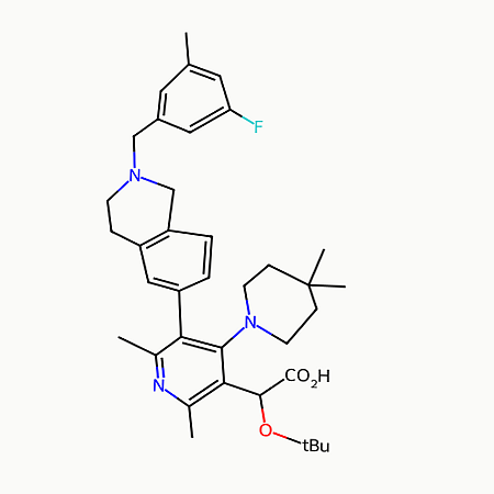 Cc1cc(F)cc(CN2CCc3cc(-c4c(C)nc(C)c(C(OC(C)(C)C)C(=O)O)c4N4CCC(C)(C)CC4)ccc3C2)c1